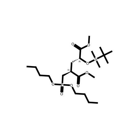 CCCCOP(=O)(C[C@@H](C[C@@H](O[Si](C)(C)C(C)(C)C)C(=O)OC)C(=O)OC)OCCCC